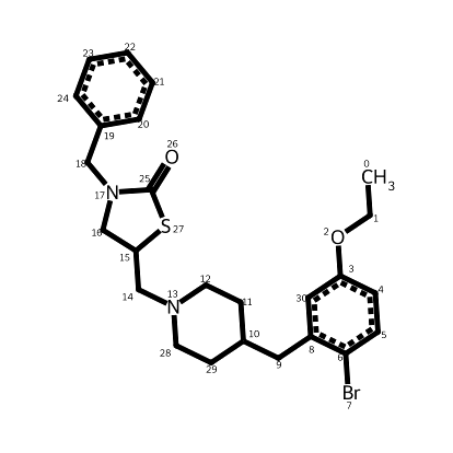 CCOc1ccc(Br)c(CC2CCN(CC3CN(Cc4ccccc4)C(=O)S3)CC2)c1